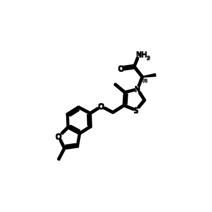 CC1=C(COc2ccc3oc(C)cc3c2)SCN1[C@H](C)C(N)=O